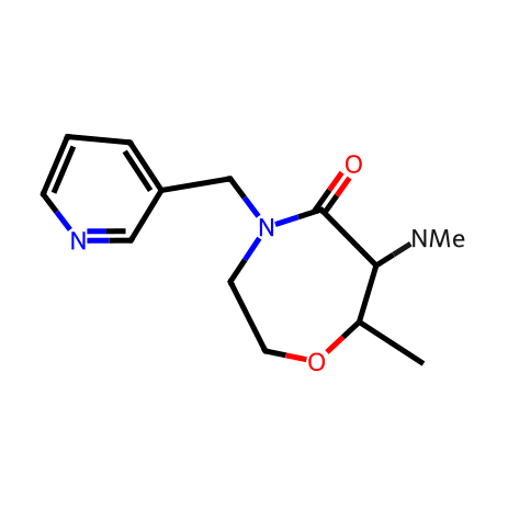 CNC1C(=O)N(Cc2cccnc2)CCOC1C